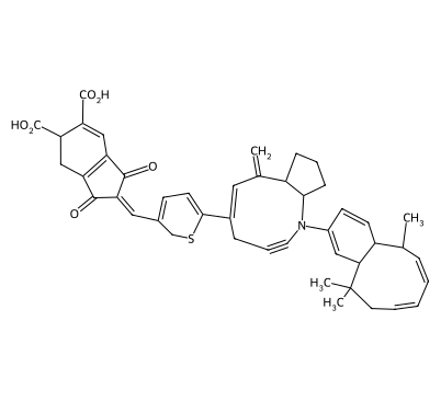 C=C1/C=C(/C2=CC=C(/C=C3\C(=O)C4=C(CC(C(=O)O)C(C(=O)O)=C4)C3=O)CS2)CC#CN(C2=CC3C(C=C2)C(C)/C=C\C=C/CC3(C)C)C2CCCC12